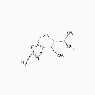 Cc1nc2c(s1)CCC(C(C)C)C2O